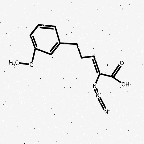 COc1cccc(CCC=C(N=[N+]=[N-])C(=O)O)c1